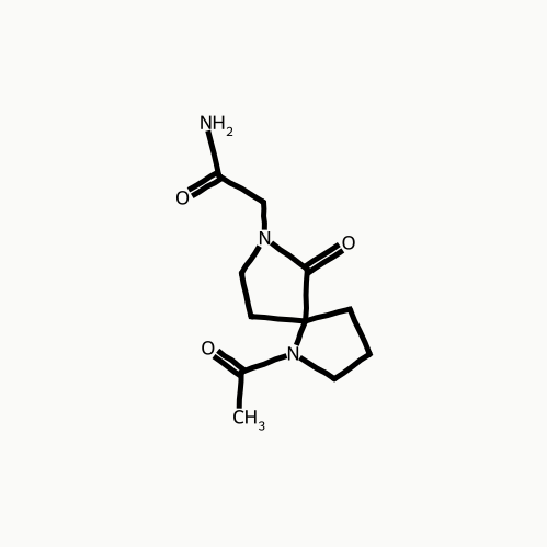 CC(=O)N1CCCC12CCN(CC(N)=O)C2=O